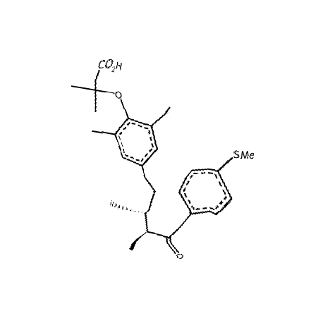 CSc1ccc(C(=O)[C@@H](C)[C@H](C)Cc2cc(C)c(OC(C)(C)C(=O)O)c(C)c2)cc1